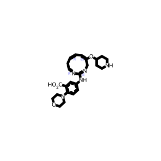 O=C(O)c1cc(NC2=N/C/C(OC3CCNCC3)=C\C=C/C/C=N\2)ccc1N1CCOCC1